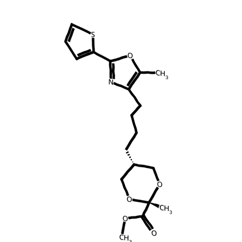 COC(=O)[C@]1(C)OC[C@H](CCCCc2nc(-c3cccs3)oc2C)CO1